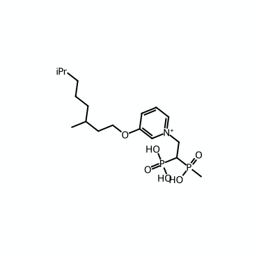 CC(C)CCCC(C)CCOc1ccc[n+](CC(P(C)(=O)O)P(=O)(O)O)c1